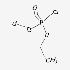 CCOP(=O)(Cl)OCl